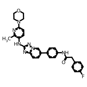 Cc1nc(N2CCOCC2)ccc1Nc1nc2ccc(-c3ccc(NC(=O)Cc4ccc(F)cc4)cc3)cn2n1